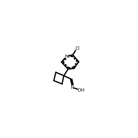 O/N=C/C1(c2ccc(Cl)nc2)CCC1